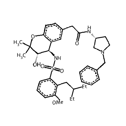 CCC(CC)Cc1c(OC)cccc1S(=O)(=O)N[C@@H]1c2cc(CC(=O)N[C@@H]3CCN(Cc4ccccc4)C3)ccc2OC(C)(C)[C@H]1O